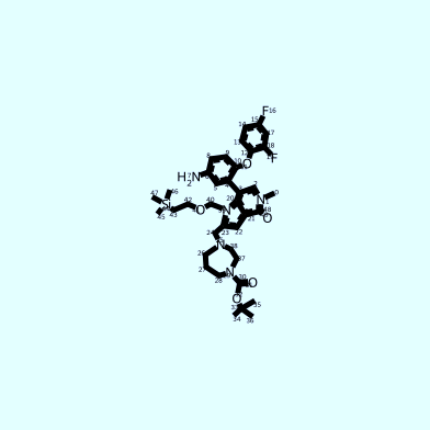 Cn1cc(-c2cc(N)ccc2Oc2ccc(F)cc2F)c2c(cc(CN3CCCN(C(=O)OC(C)(C)C)CC3)n2COCC[Si](C)(C)C)c1=O